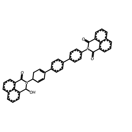 O=C1c2cccc3cccc(c23)C(=O)N1c1ccc(-c2ccc(C3=CCC(N4C(=O)c5cccc6cccc(c56)C4O)C=C3)cc2)cc1